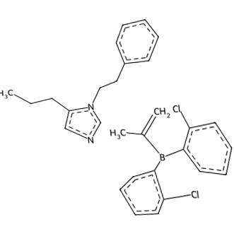 C=C(C)B(c1ccccc1Cl)c1ccccc1Cl.CCCc1cncn1CCc1ccccc1